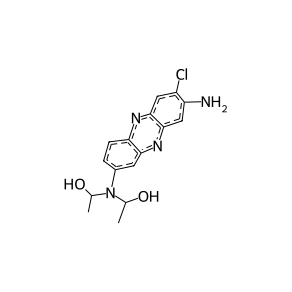 CC(O)N(c1ccc2nc3cc(Cl)c(N)cc3nc2c1)C(C)O